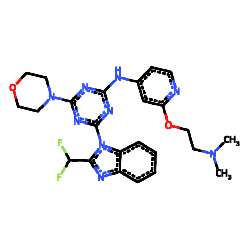 CN(C)CCOc1cc(Nc2nc(N3CCOCC3)nc(-n3c(C(F)F)nc4ccccc43)n2)ccn1